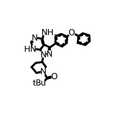 CC(C)(C)C(=O)N1CCCC(N2N=C(c3ccc(Oc4ccccc4)cc3)C3=C(N)N=CNC32)C1